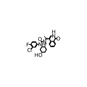 C[C@@H](c1c[nH]c(=O)c2ccccc12)N(C[C@H]1CC[C@H](O)CC1)C(=O)Nc1ccc(F)c(Cl)c1